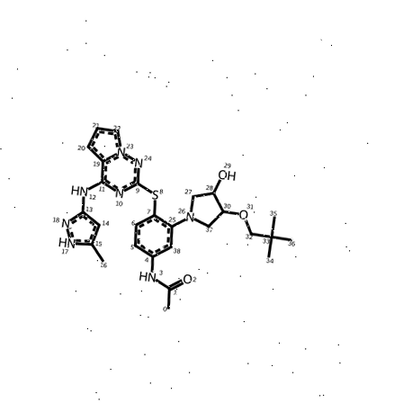 CC(=O)Nc1ccc(Sc2nc(Nc3cc(C)[nH]n3)c3cccn3n2)c(N2CC(O)C(OCC(C)(C)C)C2)c1